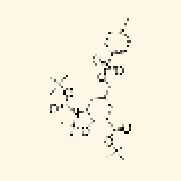 Cc1ccc(S(=O)(=O)OCC(CCC(=O)OC(C)(C)C)CC2COC(C)(C)N2C(=O)OC(C)(C)C)cc1